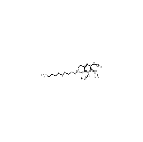 CCCCCCCCCCN1CCc2cc(OC)c(OC)c(OC)c2C1